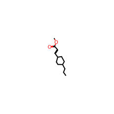 CCCC1CCC(C=CC(=O)OC)CC1